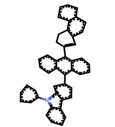 C1=C(c2c3ccccc3c(-c3ccc4c5ccccc5n(-c5ccccc5)c4c3)c3ccccc23)CCc2c1ccc1ccccc21